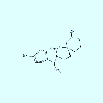 C[C@@H](c1ccc(Br)cc1)N1CC[C@@]2(CCC[C@H](O)C2)OC1=O